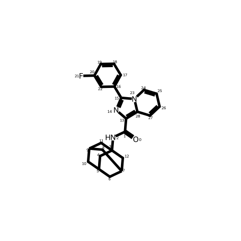 O=C(NC12CC3CC(CC(C3)C1)C2)c1nc(-c2cccc(F)c2)n2ccccc12